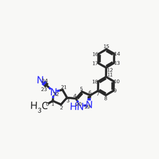 CC1CC(c2cc(-c3cccc(-c4ccccc4)c3)n[nH]2)CN1C#N